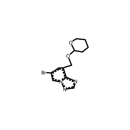 Brc1cc(COC2CCCCO2)c2ncnn2c1